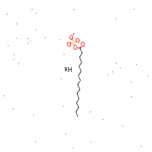 CCCCCCCCCCCCCCCC(=O)OS(=O)(=O)OC.[KH]